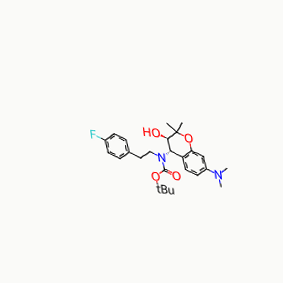 CN(C)c1ccc2c(c1)OC(C)(C)[C@H](O)[C@H]2N(CCc1ccc(F)cc1)C(=O)OC(C)(C)C